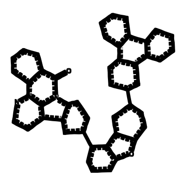 O=c1c2ccccc2c2nccc3c4cc(-c5cccc6oc7ccc(-c8ccc9c%10ccccc%10c%10ccccc%10c9c8)cc7c56)ccc4n1c32